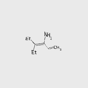 C=CC(N)=C(CC)CC